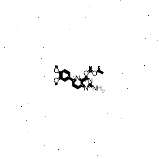 COc1ccc(-c2ccc3nc(N)nc(OC(C)OC(C)C)c3n2)cc1OC